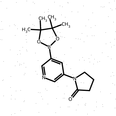 CC1(C)OB(c2cncc(N3CCCC3=O)c2)OC1(C)C